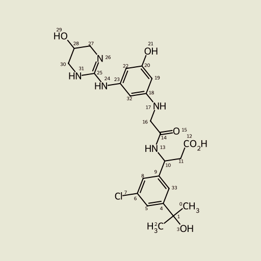 CC(C)(O)c1cc(Cl)cc(C(CC(=O)O)NC(=O)CNc2cc(O)cc(NC3=NCC(O)CN3)c2)c1